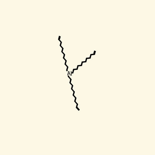 C=CCCCCCCCCC[CH2][Al]([CH2]CCCCCCCCCC=C)[CH2]CCCCCCCCCC=C